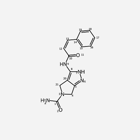 NC(=O)N1Cc2n[nH]c(NC(=O)/C=C\c3ccccc3)c2C1